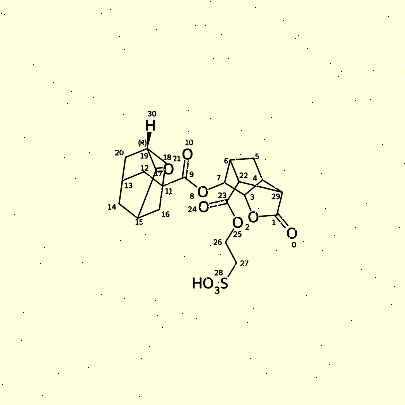 O=C1OC2C3CC(C2OC(=O)C24CC5CC(C2)C(=O)[C@H](C5)C4)C(C(=O)OCCS(=O)(=O)O)C13